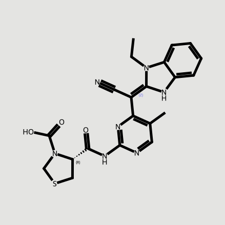 CCN1/C(=C(\C#N)c2nc(NC(=O)[C@@H]3CSCN3C(=O)O)ncc2C)Nc2ccccc21